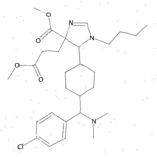 CCCCN1C=NC(CCC(=O)OC)(C(=O)OC)C1C1CCC(C(c2ccc(Cl)cc2)N(C)C)CC1